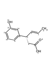 CC=C[C@H](CC(=O)O)c1cccc(O)c1